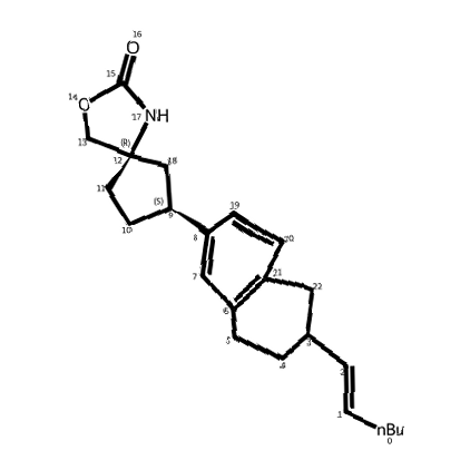 CCCCC=CC1CCc2cc([C@H]3CC[C@]4(COC(=O)N4)C3)ccc2C1